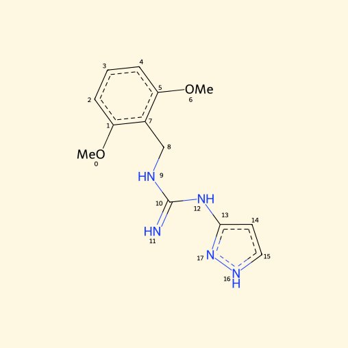 COc1cccc(OC)c1CNC(=N)Nc1cc[nH]n1